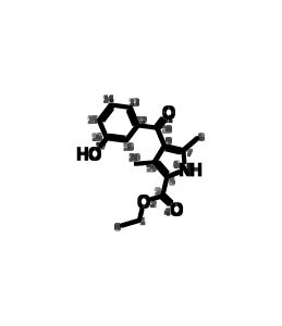 CCOC(=O)c1[nH]c(C)c(C(=O)c2cccc(O)c2)c1C